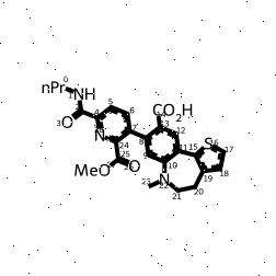 CCCNC(=O)c1ccc(-c2cc3c(cc2C(=O)O)-c2sccc2CCN3C)c(C(=O)OC)n1